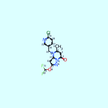 Cc1cc(=O)n2nc(OC(F)F)cc2n1Cc1ccc(Cl)nc1